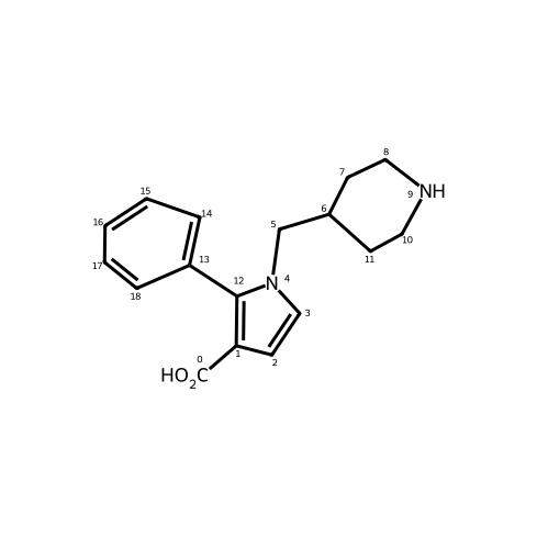 O=C(O)c1ccn(CC2CCNCC2)c1-c1ccccc1